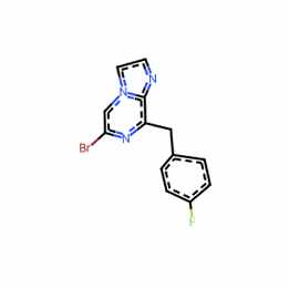 Fc1ccc(Cc2nc(Br)cn3ccnc23)cc1